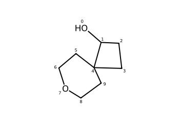 OC1CCC12CCOCC2